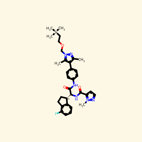 Cc1nn(COCC[Si](C)(C)C)c(C)c1-c1ccc(NC(=O)C(NC(=O)c2ccnn2C)[C@H]2CCc3c(F)cccc32)cc1